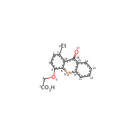 CCc1ccc(OCC(=O)O)c2sc3ccccc3c(=O)c12